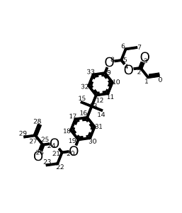 C=CC(=O)OC(CC)Oc1ccc(C(C)(C)c2ccc(OC(CC)OC(=O)C(=C)C)cc2)cc1